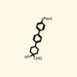 CCCCCc1ccc(-c2ccc(C3CCC(C=O)(CCC)CC3)cc2)cc1